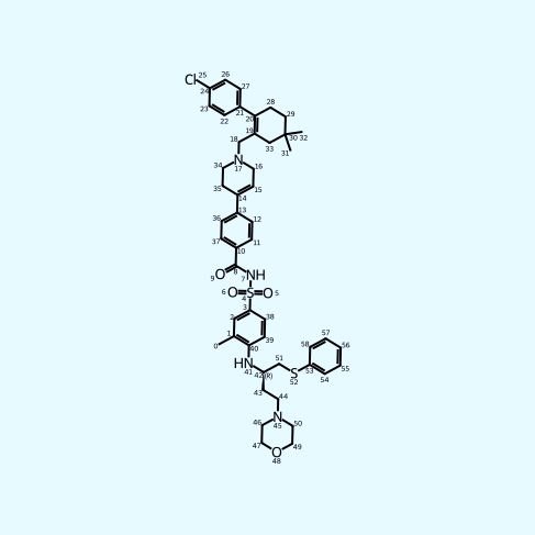 Cc1cc(S(=O)(=O)NC(=O)c2ccc(C3=CCN(CC4=C(c5ccc(Cl)cc5)CCC(C)(C)C4)CC3)cc2)ccc1N[C@H](CCN1CCOCC1)CSc1ccccc1